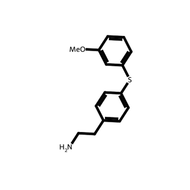 COc1cccc(Sc2ccc(CCN)cc2)c1